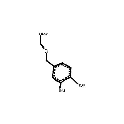 COCOCc1ccc(C(C)(C)C)c(C(C)(C)C)c1